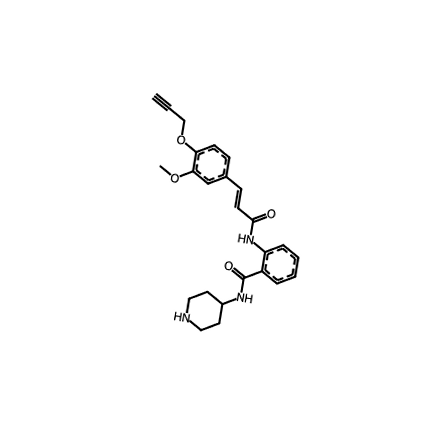 C#CCOc1ccc(C=CC(=O)Nc2ccccc2C(=O)NC2CCNCC2)cc1OC